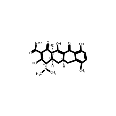 CNC(=O)C1=C(O)[C@@H](N(C)C)[C@@H]2C[C@@H]3Cc4c(C)ccc(O)c4C(=O)C3=C(O)[C@]2(O)C1=O